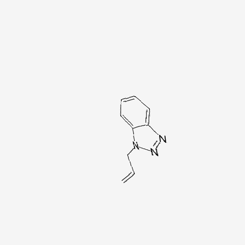 C=CCn1nnc2ccccc21